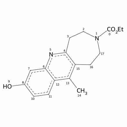 CCOC(=O)N1CCc2nc3cc(O)ccc3c(C)c2CC1